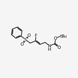 CC(C)(C)OC(=O)NCC=C(F)CS(=O)(=O)c1ccccc1